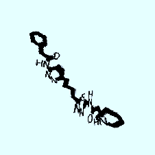 CC1(CC(=O)Nc2nnc(CCCCc3ccc(NC(=O)Cc4ccccc4)nn3)s2)C=CC=CN1